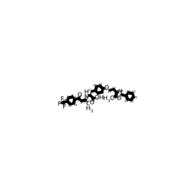 CC(=CC(=O)c1ccc(C(F)(F)F)cc1)N[C@@H](Cc1ccc(OCCc2nc(-c3ccccc3)oc2C)cc1)C(=O)O